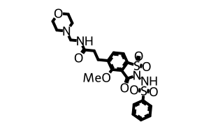 COc1c(CCC(=O)NCN2CCOCC2)ccc2c1C(=O)N(NS(=O)(=O)c1ccccc1)S2(=O)=O